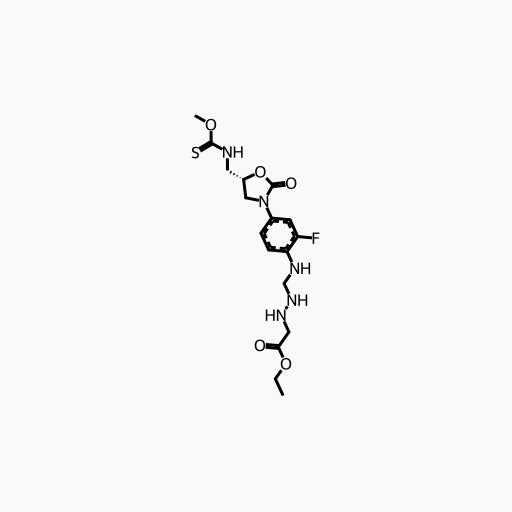 CCOC(=O)CNNCNc1ccc(N2C[C@H](CNC(=S)OC)OC2=O)cc1F